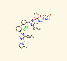 COc1nc(-c2cccc(-c3cccc(-c4cnc(Cn5c(C)ccc5C)c(OC)n4)c3Cl)c2Cl)cnc1CN(C[C@@H]1CCC(=O)N1)C(=O)OC(C)(C)C